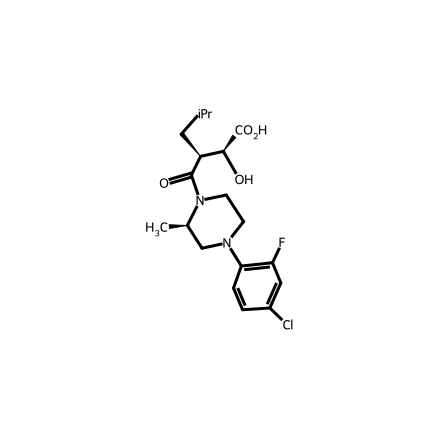 CC(C)C[C@H](C(=O)N1CCN(c2ccc(Cl)cc2F)C[C@H]1C)[C@H](O)C(=O)O